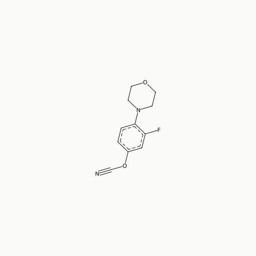 N#COc1ccc(N2CCOCC2)c(F)c1